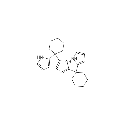 c1c[nH]c(C2(c3ccc(C4(c5ccc[nH]5)CCCCC4)[nH]3)CCCCC2)c1